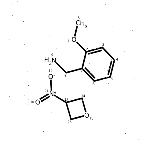 COc1ccccc1CN.O=[N+]([O-])C1COC1